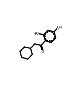 O=C(CC1CCCCC1)c1ccc(O)cc1O